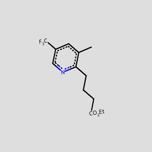 CCOC(=O)CCCc1ncc(C(F)(F)F)cc1C